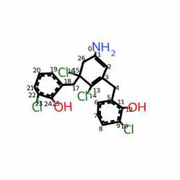 NC1=CC(Cc2cccc(Cl)c2O)=C(Cl)C(Cl)(Cc2cccc(Cl)c2O)C1